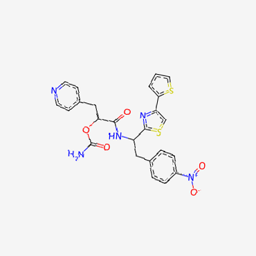 NC(=O)OC(Cc1ccncc1)C(=O)NC(Cc1ccc([N+](=O)[O-])cc1)c1nc(-c2cccs2)cs1